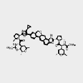 COC(=O)N[C@H](C(=O)N1[C@@H](C)CC[C@H]1c1nc(C2CC2)c(-c2ccc3c(c2)COc2cc4c(ccc5nc([C@@H]6CC[C@H](C)N6C(=O)[C@@H](NC(=O)OC)C6C[C@@H](C)O[C@H](C)C6)[nH]c54)cc2-3)[nH]1)C1C[C@@H](C)O[C@H](C)C1